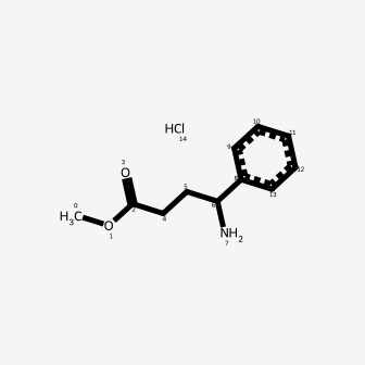 COC(=O)CCC(N)c1ccccc1.Cl